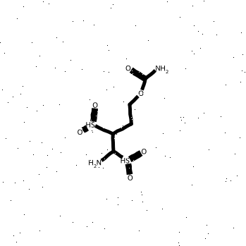 NC(=O)OCCC(C(N)[SH](=O)=O)[SH](=O)=O